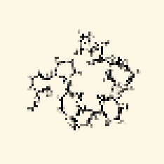 Fc1cccc([C@H]2CCCN2c2ccc3ncc(-c4cccc(-c5ccnc(N6CC7(COC7)C6)n5)n4)n3n2)c1